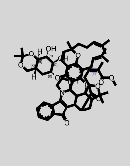 COC(=O)/C(C)=C\CC12OC(C)(C)C3CC(C1=O)C1C4=C(c5ccccc5C4=O)N4CCNC45c4c(O[C@@H]6C[C@@H]7COC(C)(C)O[C@H]7[C@H](O)[C@H]6O)c6c(c(CC=C(C)C)c4OC32C15)OC(C)(CCC=C(C)C)C=C6